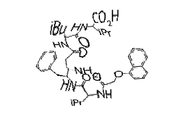 CC[C@H](C)[C@H](NC(=O)C[C@H](N)[C@H](Cc1ccccc1)NC(=O)C(NC(=O)COc1cccc2ccccc12)C(C)C)C(=O)NC(C(=O)O)C(C)C